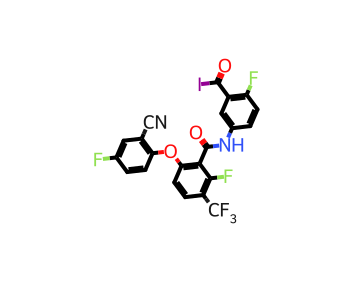 N#Cc1cc(F)ccc1Oc1ccc(C(F)(F)F)c(F)c1C(=O)Nc1ccc(F)c(C(=O)I)c1